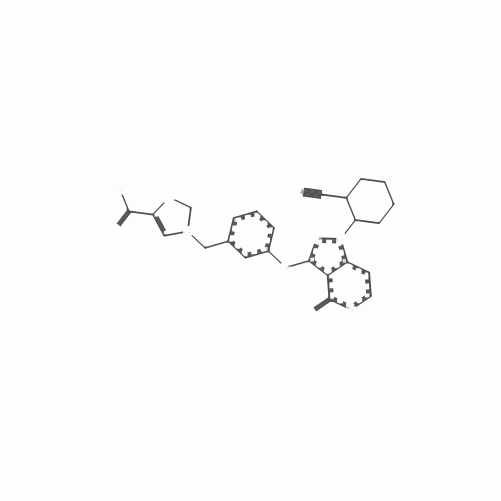 N#CC1CCCCC1n1nc(Nc2cccc(CN3C=C(C(N)=O)OC3)c2)c2c(=O)[nH]ccc21